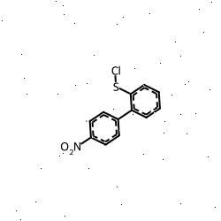 O=[N+]([O-])c1[c]cc(-c2ccccc2SCl)cc1